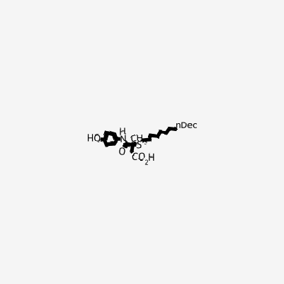 CCCCCCCCCCCCCCCCCCSC(C)(CC(=O)O)C(=O)Nc1ccc(O)cc1